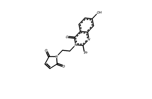 CC(C)c1nc2cc(O)ccc2c(=O)n1CCN1C(=O)C=CC1=O